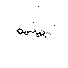 C[C@H](O)[C@@H](C)n1cc(C(=O)NCc2nnc(-c3ccccc3)s2)nn1